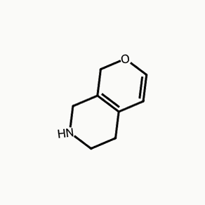 C1=CC2=C(CNCC2)CO1